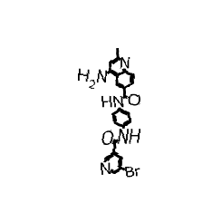 Cc1cc(N)c2cc(C(=O)Nc3ccc(NC(=O)c4cncc(Br)c4)cc3)ccc2n1